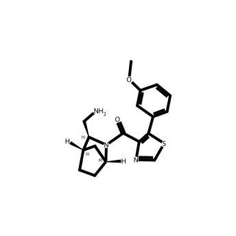 COc1cccc(-c2scnc2C(=O)N2[C@@H]3CC[C@@H](C3)[C@H]2CN)c1